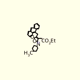 CCOC(=O)CC1=C(Cc2c3ccccc3cc3ccccc23)C(=O)O/C1=N\C1CCC(C)CC1